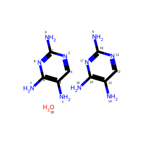 Nc1ncc(N)c(N)n1.Nc1ncc(N)c(N)n1.O